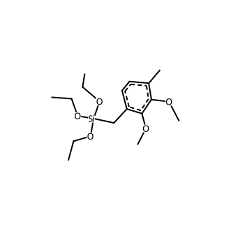 CCO[Si](Cc1ccc(C)c(OC)c1OC)(OCC)OCC